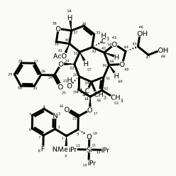 CN[C@@H](c1ncccc1F)[C@@H](O[Si](C(C)C)(C(C)C)C(C)C)C(=O)O[C@H]1C[C@@]2(O)[C@@H](OC(=O)c3ccccc3)[C@H]3[C@@](C)(C=C[C@H]4OC[C@]43OC(C)=O)[C@@H]3O[C@H](C(O)CO)O[C@@H]3C(=C1C)C2(C)C